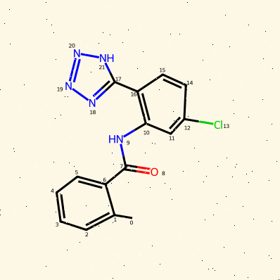 Cc1ccccc1C(=O)Nc1cc(Cl)ccc1-c1nnn[nH]1